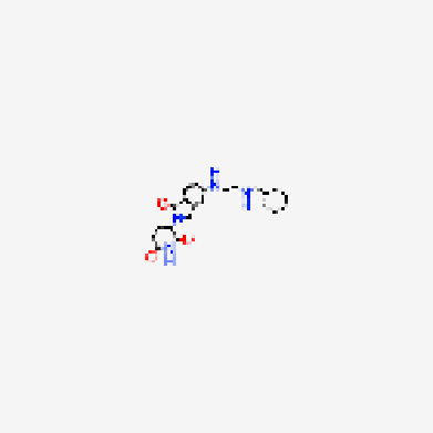 O=C1CCC(N2Cc3cc(NCCNCC4CCCCC4)ccc3C2=O)C(=O)N1